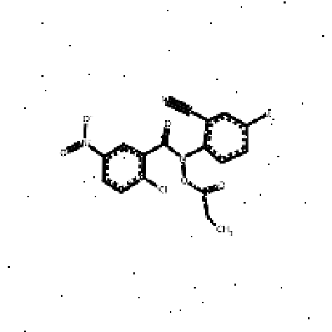 CCC(=O)ON(C(=O)c1cc([N+](=O)[O-])ccc1Cl)c1ccc(F)cc1C#N